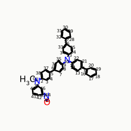 CN(c1ccc(-c2ccc(N(c3ccc(-c4ccccc4)cc3)c3ccc(-c4ccccc4)cc3)cc2)cc1)c1cccc(N=O)c1